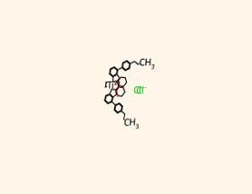 CCCc1ccc(-c2cccc3c2C=C(C2CCCCC2)[CH]3[Ti+2]2([CH]3C(C4CCCCC4)=Cc4c(-c5ccc(CCC)cc5)cccc43)[CH2][CH2]2)cc1.[Cl-].[Cl-]